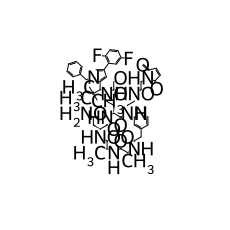 C[C@H](NC(=O)Cc1ccncc1)C(=O)N[C@H](C)C(=O)N[C@@H](CC(N)=O)C(=O)N[C@@H](CCN(C(=O)CO)[C@@H](c1cc(-c2cc(F)ccc2F)cn1Cc1ccccc1)C(C)(C)C)C(=O)NCCNC(=O)CN1C(=O)C=CC1=O